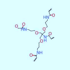 C=CC(=O)NCCCOCC(COCCCNC(=O)C=C)(COCCCNC(=O)C=O)NC(=O)C=C